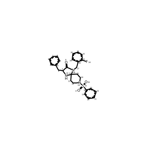 O=C1C(Cc2ccccc2)NC2(CCN(S(=O)(=O)c3ccccc3)CC2)N1Cc1ccccc1F